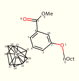 CCCCCCCCOc1cccc(C(=O)OC)c1.[CH]12[CH]3[CH]4[CH]5[CH]1[Fe]23451678[CH]2[CH]1[CH]6[CH]7[CH]28